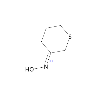 O/N=C1\CCCSC1